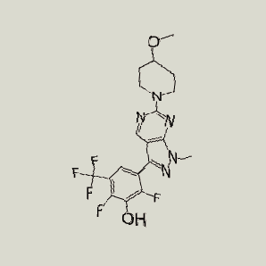 COC1CCN(c2ncc3c(-c4cc(C(F)(F)F)c(F)c(O)c4F)nn(C)c3n2)CC1